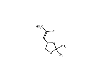 CC/C(=C\[C@@H]1COC(C)(C)O1)C(=O)O